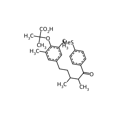 CSc1ccc(C(=O)C(C)C(C)CCc2cc(C)c(OC(C)(C)C(=O)O)c(C)c2)cc1